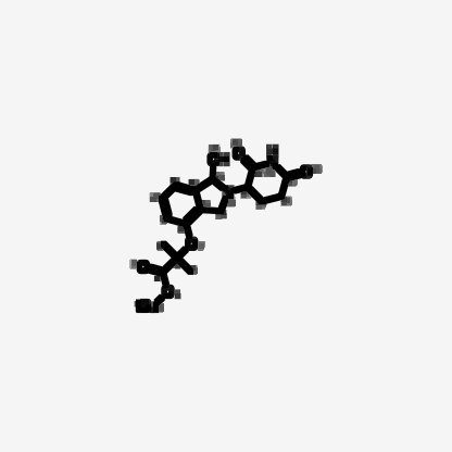 CC(C)(C)OC(=O)C(C)(C)Oc1cccc2c1CN(C1CCC(=O)NC1=O)C2O